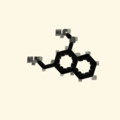 COc1cc(CN)cc2ccccc12